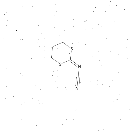 N#CN=C1SCCCS1